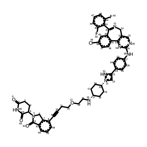 O=C1CCC(N2Cc3c(C#CCCOCCN[C@H]4CC[C@@H](n5cc(-c6ccc(Nc7ncc8c(n7)-c7ccc(Cl)cc7C(c7c(F)cccc7F)=NC8)cc6)[nH]5)CC4)cccc3C2=O)C(=O)N1